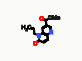 C=CCn1c(=O)ccc2ncc(C(=O)OC)cc21